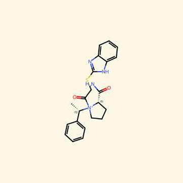 C[C@@H](c1ccccc1)[N+]1(C(=O)CSc2nc3ccccc3[nH]2)CCC[C@H]1C(N)=O